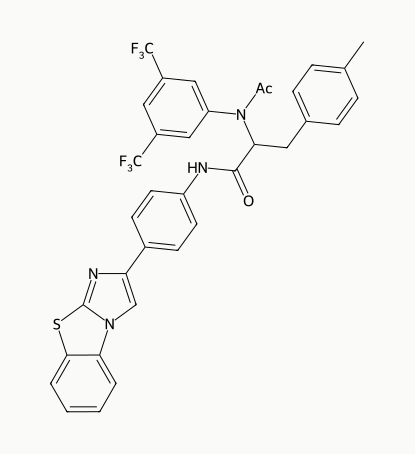 CC(=O)N(c1cc(C(F)(F)F)cc(C(F)(F)F)c1)C(Cc1ccc(C)cc1)C(=O)Nc1ccc(-c2cn3c(n2)sc2ccccc23)cc1